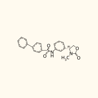 CN1C(=O)OC[C@H]1c1cccc(NS(=O)(=O)c2ccc(-c3ccccc3)cc2)c1